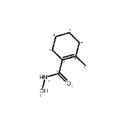 CC1=C(C(=O)NO)CCCC1